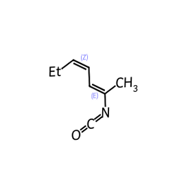 CC/C=C\C=C(/C)N=C=O